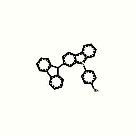 CC(C)(C)c1ccc(-n2c3ccccc3c3ccc(C4c5ccccc5-c5ccccc54)cc32)cc1